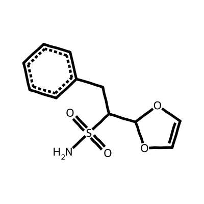 NS(=O)(=O)C(Cc1ccccc1)C1OC=CO1